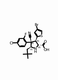 CC(C)(C)C[C@@H]1N[C@@H](C(=O)O)[C@H](c2cc(Br)cs2)[C@@]1(C#N)c1ccc(Cl)cc1F